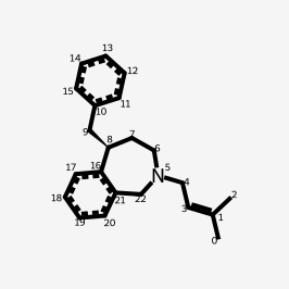 CC(C)=CCN1CC[C@H](Cc2ccccc2)c2ccccc2C1